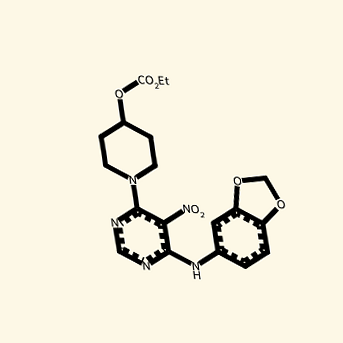 CCOC(=O)OC1CCN(c2ncnc(Nc3ccc4c(c3)OCO4)c2[N+](=O)[O-])CC1